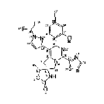 CC1OC(=O)N[C@@]12CC1=C(c3ccn(C(F)F)n3)[C@H](c3ccc(F)cc3Cl)N=C(c3nccs3)N1C2